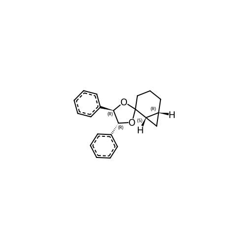 c1ccc([C@H]2OC3(CCC[C@@H]4C[C@@H]43)O[C@@H]2c2ccccc2)cc1